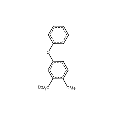 CCOC(=O)c1cc(Oc2ccccc2)ccc1OC